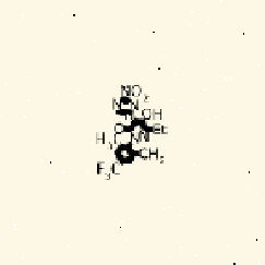 CCc1nn(-c2c(C)cc(C(F)(F)F)cc2C)c(=O)c(-n2cnc([N+](=O)[O-])n2)c1O